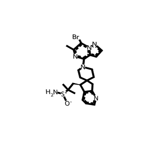 Cc1nc(N2CCC3(CC2)Cc2ncccc2[C@H]3CC(C)(C)[S+](N)[O-])c2ccnn2c1Br